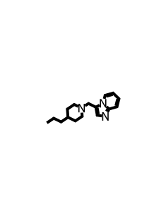 CCCC1CCN(Cc2cnc3ccccn23)CC1